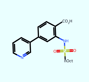 CCCCCCCCS(=O)(=O)Nc1cc(-c2cccnc2)ccc1C(=O)O